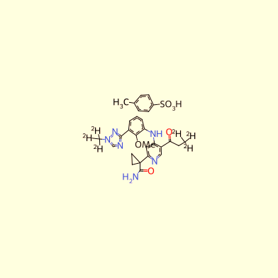 Cc1ccc(S(=O)(=O)O)cc1.[2H]C([2H])([2H])CC(=O)c1cnc(C2(C(N)=O)CC2)cc1Nc1cccc(-c2ncn(C([2H])([2H])[2H])n2)c1OC